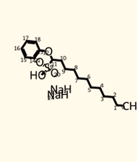 CCCCCCCCCCCC(Oc1ccccc1)S(=O)(=O)O.[NaH].[NaH]